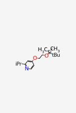 CC(C)c1cc(OCCO[Si](C)(C)C(C)(C)C)ccn1